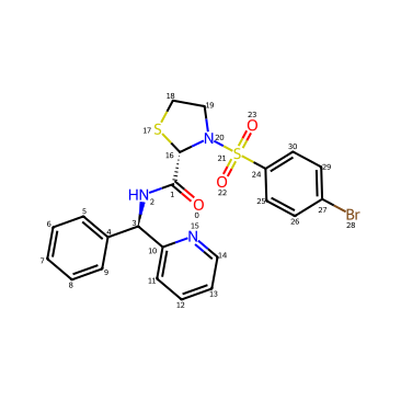 O=C(N[C@H](c1ccccc1)c1ccccn1)[C@@H]1SCCN1S(=O)(=O)c1ccc(Br)cc1